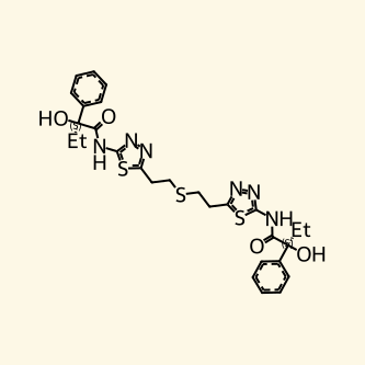 CC[C@@](O)(C(=O)Nc1nnc(CCSCCc2nnc(NC(=O)[C@](O)(CC)c3ccccc3)s2)s1)c1ccccc1